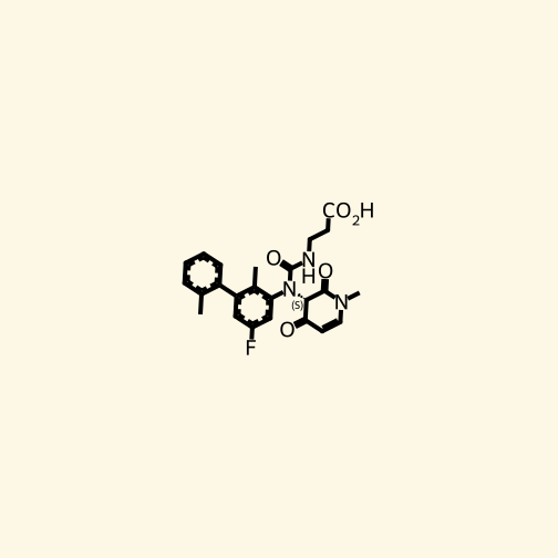 Cc1ccccc1-c1cc(F)cc(N(C(=O)NCCC(=O)O)[C@H]2C(=O)C=CN(C)C2=O)c1C